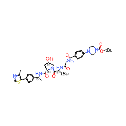 Cc1ncsc1-c1ccc([C@H](C)NC(=O)[C@@H]2C[C@@H](O)CN2C(=O)[C@@H](NC(=O)CNC(=O)c2ccc(N3CCN(C(=O)OC(C)(C)C)CC3)cc2)C(C)(C)C)cc1